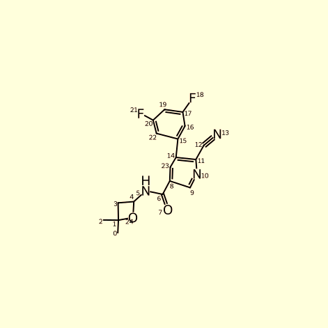 CC1(C)CC(NC(=O)c2cnc(C#N)c(-c3cc(F)cc(F)c3)c2)O1